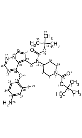 CC(C)(C)OC(=O)N1CCC(N(Cc2ccn3ncnc(Oc4ccc(N)cc4F)c23)C(=O)OC(C)(C)C)CC1